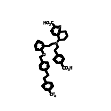 O=C(O)c1ccc(CCN(CCc2ccccc2OCc2ccc(CCc3ccc(C(F)(F)F)cc3)cc2)C2CCCc3nc(C(=O)O)ccc32)cc1